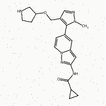 Cn1ncc(COC2CCNC2)c1-c1ccn2nc(NC(=O)C3CC3)cc2c1